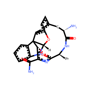 CC(C)[C@@H]1NC(=O)[C@@H](N)Cc2ccc3c(c2)C2(c4ccccc4N[C@H]2O3)c2oc1nc2C(N)=O